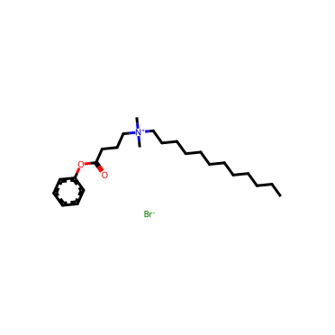 CCCCCCCCCCCC[N+](C)(C)CCCC(=O)Oc1ccccc1.[Br-]